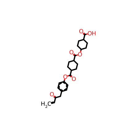 C=CC(=O)Cc1ccc(OC(=O)C2CCC(C(=O)OC3CCC(C(=O)O)CC3)CC2)cc1